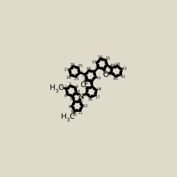 Cc1ccc2c(c1)c1cc(C)ccc1n2-c1cccc2c1oc1c(-c3ccccc3)cc(-c3cccc4c3oc3ccccc34)cc12